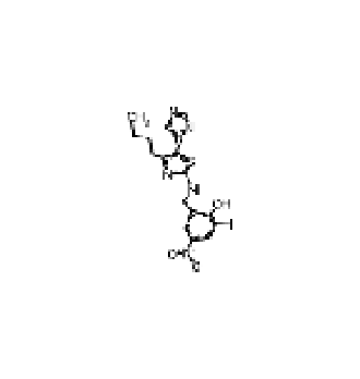 CCCCc1nc(NCc2cc([N+](=O)[O-])cc(I)c2O)sc1-n1cncn1